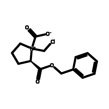 O=C(OCc1ccccc1)[C@H]1CCC[N+]1(CCl)C(=O)[O-]